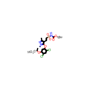 Cc1nn(C)c(Oc2cc(O[C@@H](C)C(=O)O)c(Cl)cc2Cl)c1/C=C/S(=O)(=O)NC(=O)OC(C)(C)C